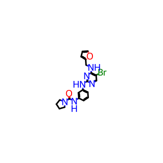 O=C(Nc1cccc(Nc2ncc(Br)c(NCc3ccco3)n2)c1)N1CCCC1